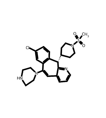 CS(=O)(=O)N1CCC([C@H]2c3ccc(Cl)cc3C(N3CCNCC3)=Cc3cccnc32)CC1